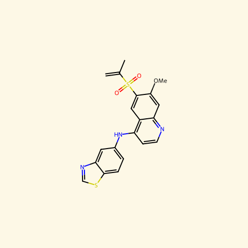 C=C(C)S(=O)(=O)c1cc2c(Nc3ccc4scnc4c3)ccnc2cc1OC